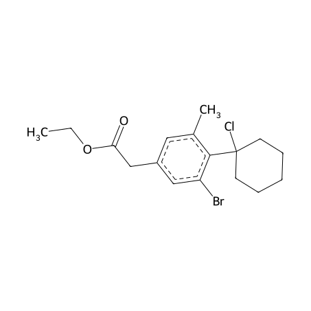 CCOC(=O)Cc1cc(C)c(C2(Cl)CCCCC2)c(Br)c1